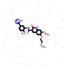 COCCOc1cc2cc(C(=O)Nc3cc(-c4nnn[nH]4)ccc3C)c(=O)[nH]c2cc1OC